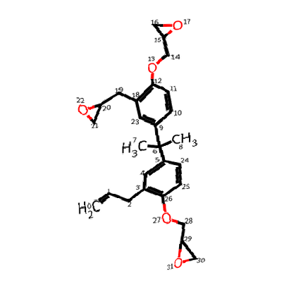 C=CCc1cc(C(C)(C)c2ccc(OCC3CO3)c(CC3CO3)c2)ccc1OCC1CO1